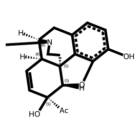 CC(=O)[C@]1(O)C=C[C@H]2[C@H]3Cc4ccc(O)c5c4[C@@]2(CCN3C)[C@@H]1O5